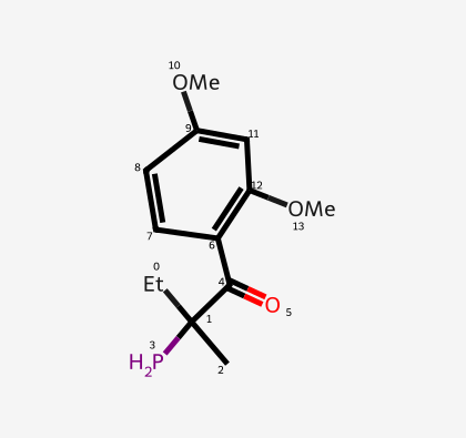 CCC(C)(P)C(=O)c1ccc(OC)cc1OC